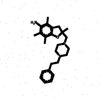 Cc1c(C)c2c(c(C)c1N)CC(C)(CN1CCN(CCc3ccccc3)CC1)O2